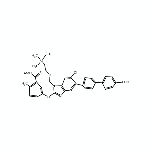 COC(=O)c1cc(Oc2nc3nc(-c4ccc(-c5ccc(C=O)cc5)cc4)c(Cl)cc3n2COCC[Si](C)(C)C)ccc1C